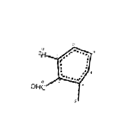 [2H]c1cccc(C)c1C=O